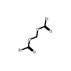 CCC(=O)O[CH]OC(=O)CC